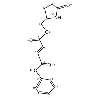 O=C1CCC(COC(=O)/C=C/C(=O)Oc2ccccc2)N1